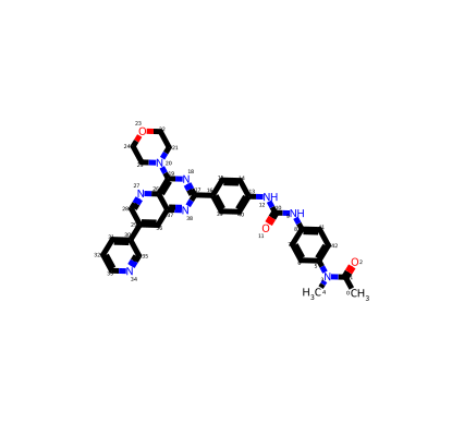 CC(=O)N(C)c1ccc(NC(=O)Nc2ccc(-c3nc(N4CCOCC4)c4ncc(-c5cccnc5)cc4n3)cc2)cc1